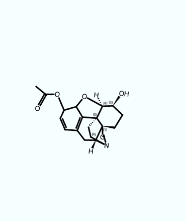 CC(=O)OC1C=CC2=C3C1O[C@H]1[C@@H](O)CC[C@]45OCN(CC[C@]314)[C@@H]5C2